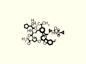 CC(C)c1ccc(-c2cc(O[C@@H]3C[C@@H](C(N)=O)N(C(=O)[C@H](CCCCC/C=C\[C@@H]4C[C@@H]4C(=O)NS(=O)(=O)C4CC4)NC(=O)C(C)C4CCCC4)C3)c3oc4ccc(F)cc4c3n2)cc1